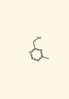 Cc1ccnc(CS)n1